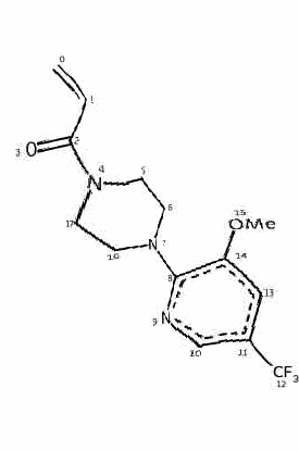 C=CC(=O)N1CCN(c2ncc(C(F)(F)F)cc2OC)CC1